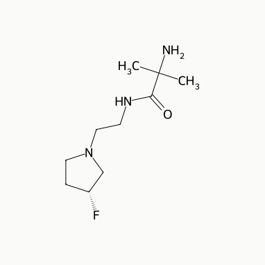 CC(C)(N)C(=O)NCCN1CC[C@@H](F)C1